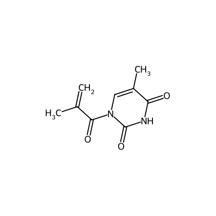 C=C(C)C(=O)n1cc(C)c(=O)[nH]c1=O